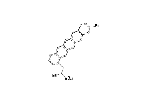 CCCCC(CC)Cc1cccc2cc3cc4cc5ccc(CC)cc5cc4cc3cc12